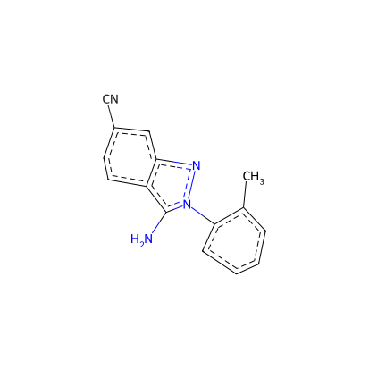 Cc1ccccc1-n1nc2cc(C#N)ccc2c1N